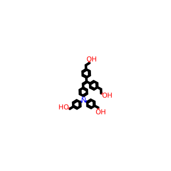 OCCc1ccc(C(=Cc2ccc(N(c3ccc(CO)cc3)c3ccc(CO)cc3)cc2)c2ccc(CCO)cc2)cc1